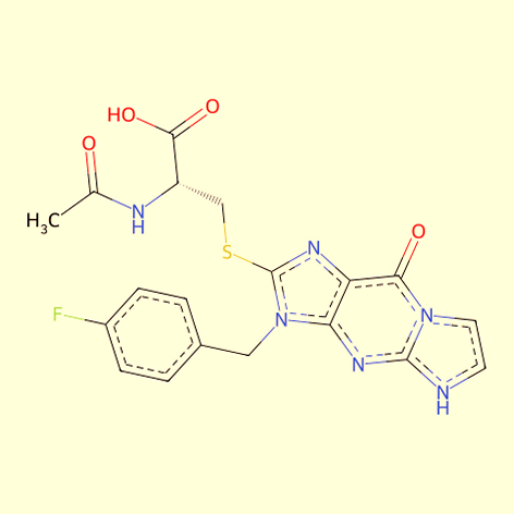 CC(=O)N[C@@H](CSc1nc2c(=O)n3cc[nH]c3nc2n1Cc1ccc(F)cc1)C(=O)O